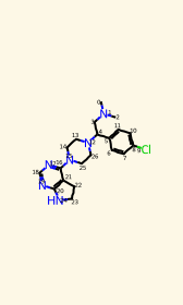 CN(C)CC(c1ccc(Cl)cc1)N1CCN(c2ncnc3c2CCN3)CC1